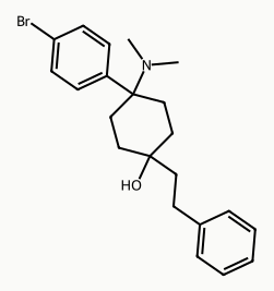 CN(C)C1(c2ccc(Br)cc2)CCC(O)(CCc2ccccc2)CC1